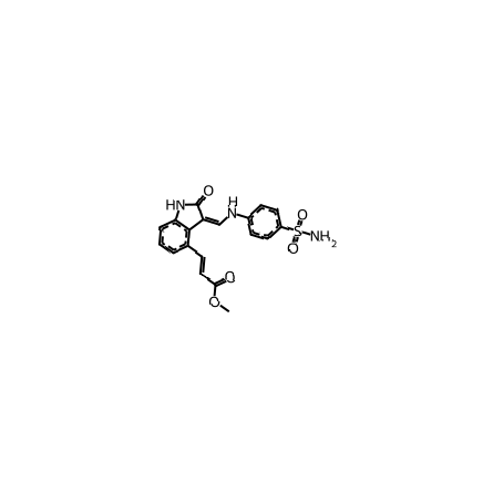 COC(=O)C=Cc1cccc2c1/C(=C/Nc1ccc(S(N)(=O)=O)cc1)C(=O)N2